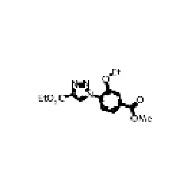 CCOC(=O)c1cn(-c2ccc(C(=O)OC)cc2OCC)nn1